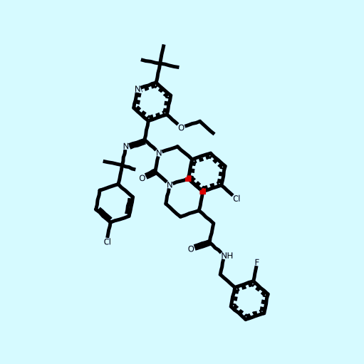 CCOc1cc(C(C)(C)C)ncc1/C(=N/C(C)(C)C1C=CC(Cl)=CC1)N(Cc1ccc(Cl)cc1)C(=O)N1CCC(CC(=O)NCc2ccccc2F)CC1